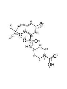 O=C(O)N1CCC(NS(=O)(=O)c2cc(Br)ccc2OC(F)(F)F)CC1